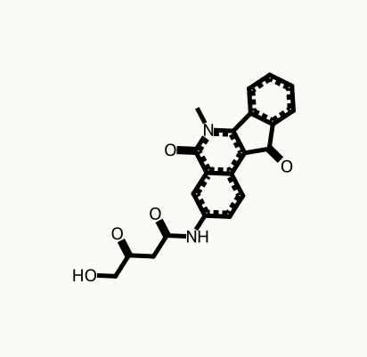 Cn1c2c(c3ccc(NC(=O)CC(=O)CO)cc3c1=O)C(=O)c1ccccc1-2